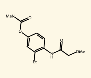 CCc1cc(OC(=O)NC)ccc1NC(=O)COC